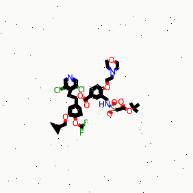 CC(C)(C)OC(=O)CS(=O)(=O)NCc1cc(C(=O)OC(Cc2c(Cl)cncc2Cl)c2ccc(OC(F)F)c(OCC3CC3)c2)ccc1OCCN1CCOCC1